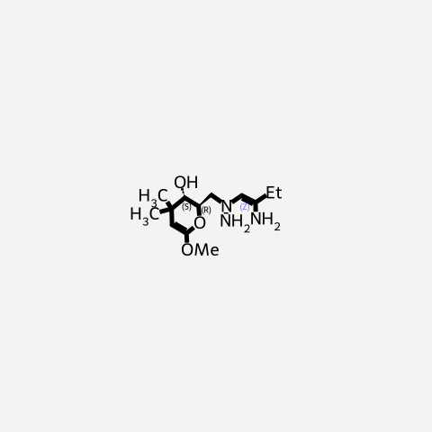 CC/C(N)=C/N(N)C[C@H]1OC(OC)=CC(C)(C)[C@@H]1O